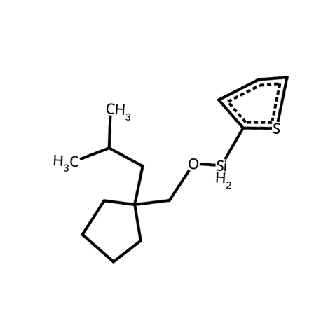 CC(C)CC1(CO[SiH2]c2cccs2)CCCC1